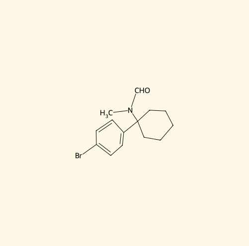 CN(C=O)C1(c2ccc(Br)cc2)CCCCC1